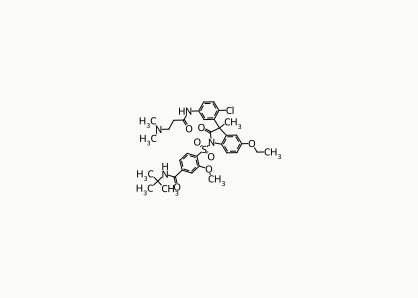 CCOc1ccc2c(c1)C(C)(c1cc(NC(=O)CCN(C)C)ccc1Cl)C(=O)N2S(=O)(=O)c1ccc(C(=O)NC(C)(C)C)cc1OC